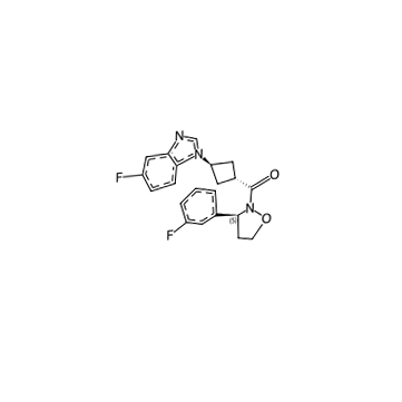 O=C([C@H]1C[C@H](n2cnc3cc(F)ccc32)C1)N1OCC[C@H]1c1cccc(F)c1